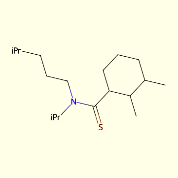 CC(C)CCCN(C(=S)C1CCCC(C)C1C)C(C)C